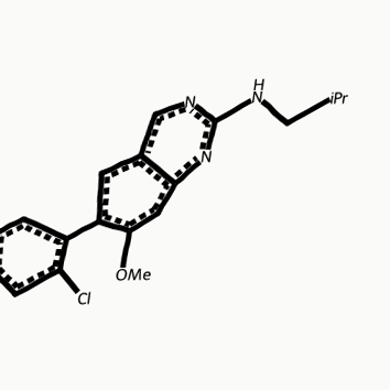 COc1cc2nc(NCC(C)C)ncc2cc1-c1ccccc1Cl